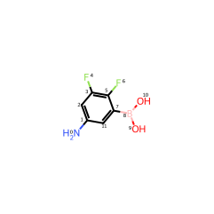 Nc1cc(F)c(F)c(B(O)O)c1